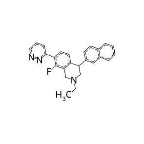 CCN1Cc2c(ccc(-c3cccnn3)c2F)C(c2ccc3ccccc3c2)C1